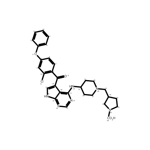 O=C(c1ccc(Oc2ccccc2)cc1Cl)c1c[nH]c2ncnc(NC3CCN(CC4CCN(C(=O)O)C4)CC3)c12